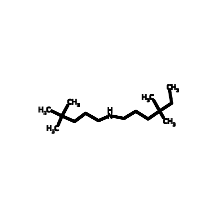 CCC(C)(C)CCCNCCCC(C)(C)C